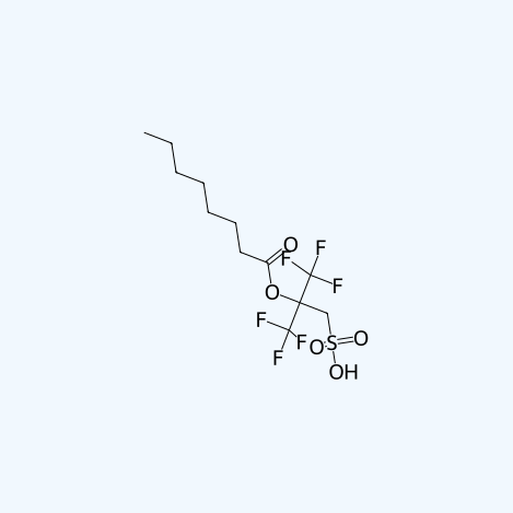 CCCCCCCC(=O)OC(CS(=O)(=O)O)(C(F)(F)F)C(F)(F)F